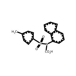 Cc1ccc(S(=O)(=O)N(C(=O)O)c2cccc3ccccc23)cc1